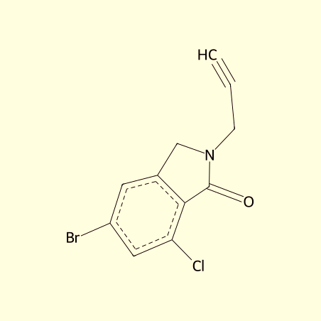 C#CCN1Cc2cc(Br)cc(Cl)c2C1=O